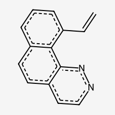 C=Cc1cccc2ccc3ccnnc3c12